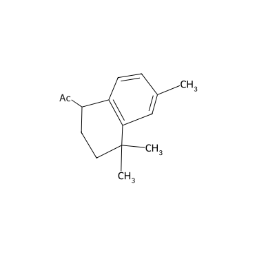 CC(=O)C1CCC(C)(C)c2cc(C)ccc21